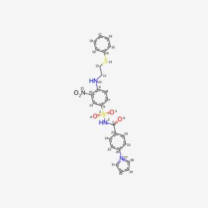 O=C(NS(=O)(=O)c1ccc(NCCSc2ccccc2)c([N+](=O)[O-])c1)c1ccc(-n2cccc2)cc1